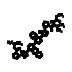 COC(=O)N[C@H](C(=O)N1CCC[C@@H]1c1ncc(-c2ccc(-c3ccc(-c4cnc([C@@H]5CCCN5C(=O)CC(C)C)[nH]4)c4c3CC3(CCCC3)C4)c3c2C2CCC3O2)[nH]1)C(C)C